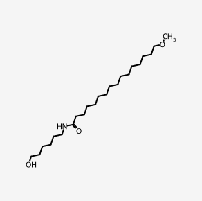 COCCCCCCCCCCCCCCCC(=O)NCCCCCCO